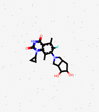 Cc1c(F)c(N2CC3CC(O)C(O)C3C2)c(C)c2c1c(=O)[nH]c(=O)n2C1CC1